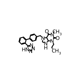 CCCN1C(=O)N(C)C(=O)C2C1NCN2Cc1ccc(-c2ccccc2-c2nnn[nH]2)cc1